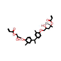 C=CC(=O)OCC(O)COc1ccc(C(C)c2ccc(OCC(O)C[C@](C)(CC)OC(=O)C=C)c(C)c2)cc1C